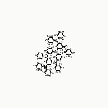 c1ccc(Oc2cc(N(c3ccccc3)c3ccccc3)cc(N(c3ccccc3)c3cccc(N(c4ccccc4)c4cc(Oc5ccccc5)cc(N(c5ccccc5)c5ccccc5)c4)c3)c2)cc1